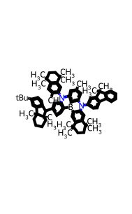 Cc1cc2c3c(c1)N(c1cc4c(cc1C)C(C)(C)CCC4(C)C)c1cc(C4c5ccc(C(C)(C)C)cc5C5(C)CCCC[C@@]45C)ccc1B3c1cc3c(cc1N2c1ccc2c(c1)C(C)(C)c1ccccc1-2)C(C)(C)CCC3(C)C